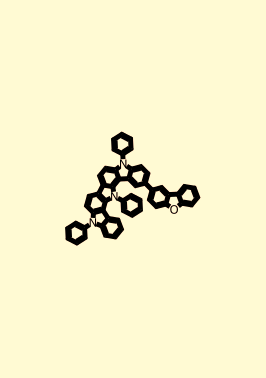 c1ccc(-n2c3ccccc3c3c2ccc2c4ccc5c(c6cc(-c7ccc8oc9ccccc9c8c7)ccc6n5-c5ccccc5)c4n(-c4ccccc4)c23)cc1